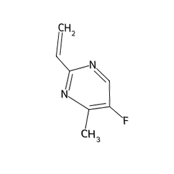 C=Cc1ncc(F)c(C)n1